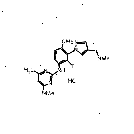 CNCc1cnn(-c2c(OC)ccc(Nc3nc(C)cc(NC)n3)c2F)c1.Cl